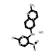 Cc1ccc2cc(Nc3nc(Cl)ncc3[N+](=O)[O-])ccc2n1.Cl